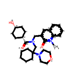 Cn1c(=O)c(CN(CC2(N3CCOCC3)CCCCC2)C(=O)[C@H]2CC[C@@H](O)CC2)cc2ccccc21